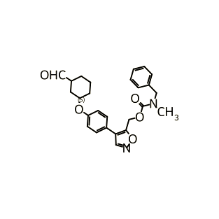 CN(Cc1ccccc1)C(=O)OCc1oncc1-c1ccc(O[C@H]2CCCC(C=O)C2)cc1